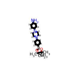 CC1(C)OB(c2ccc(N3CCN(c4ccc(N)cc4)CC3)cc2)OC1(C)C